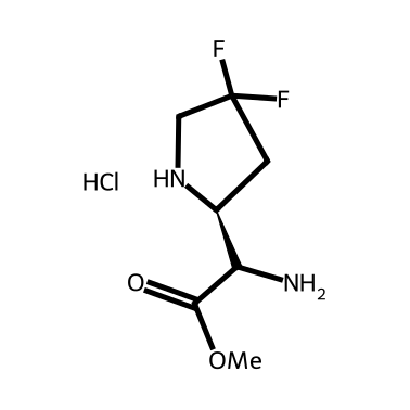 COC(=O)C(N)[C@@H]1CC(F)(F)CN1.Cl